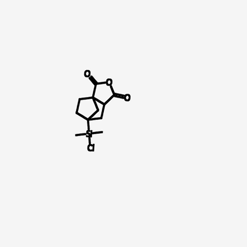 C[Si](C)(Cl)C12CCC3(C1)C(=O)OC(=O)C3C2